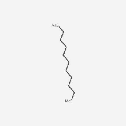 CSCCCCCCCCCSC